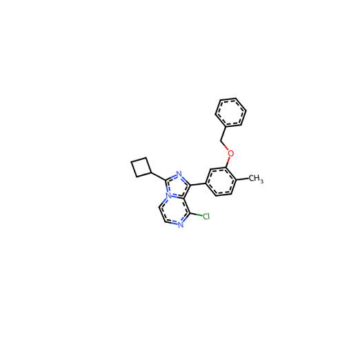 Cc1ccc(-c2nc(C3CCC3)n3ccnc(Cl)c23)cc1OCc1ccccc1